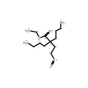 CCCCC(CCCC)(CCP=O)C(=O)OCC